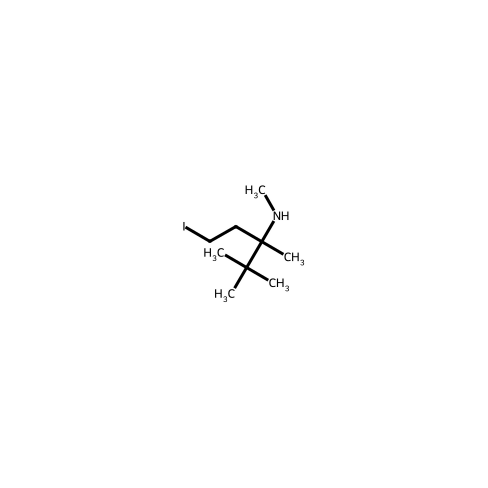 CNC(C)(CCI)C(C)(C)C